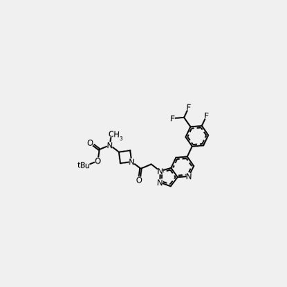 CN(C(=O)OC(C)(C)C)C1CN(C(=O)Cn2ncc3ncc(-c4ccc(F)c(C(F)F)c4)cc32)C1